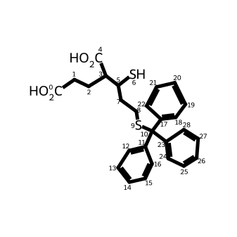 O=C(O)CCC(C(=O)O)C(S)CCSC(c1ccccc1)(c1ccccc1)c1ccccc1